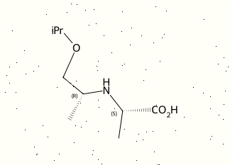 CC(C)OC[C@@H](C)N[C@@H](C)C(=O)O